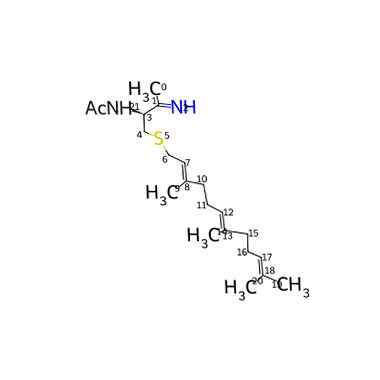 CC(=N)[C@@H](CSC/C=C(\C)CC/C=C(\C)CCC=C(C)C)NC(C)=O